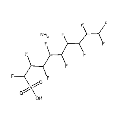 N.O=S(=O)(O)C(F)C(F)C(F)C(F)C(F)C(F)C(F)C(F)C(F)F